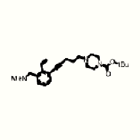 C=Cc1c(C#CCCCN2CCN(C(=O)OC(C)(C)C)CC2)cccc1CNC